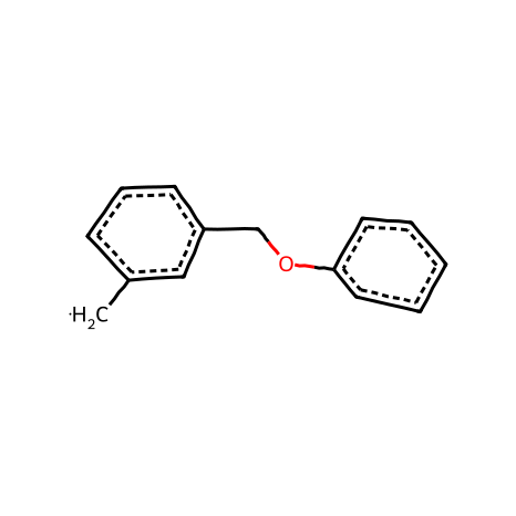 [CH2]c1cccc(COc2ccccc2)c1